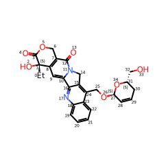 CC[C@@]1(O)C(=O)OCc2c1cc1n(c2=O)Cc2c-1nc1ccccc1c2CO[C@@H]1C=CC[C@@H](CO)O1